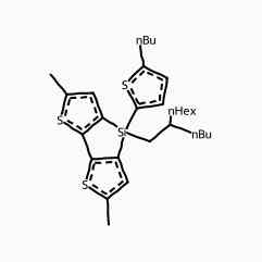 CCCCCCC(CCCC)C[Si]1(c2ccc(CCCC)s2)c2cc(C)sc2-c2sc(C)cc21